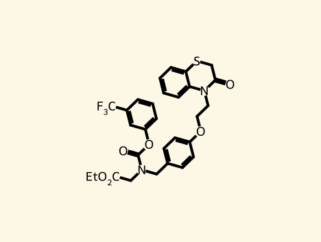 CCOC(=O)CN(Cc1ccc(OCCN2C(=O)CSc3ccccc32)cc1)C(=O)Oc1cccc(C(F)(F)F)c1